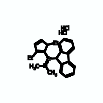 CCC1=[C]([Zr]([CH]2c3ccccc3-c3ccccc32)=[Si](C)C)C(CC)C=C1.Cl.Cl